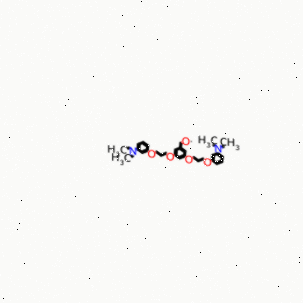 CCN(CC)c1cccc(OCCCOc2cc(C[O])cc(OCCCOc3cccc(N(CC)CC)c3)c2)c1